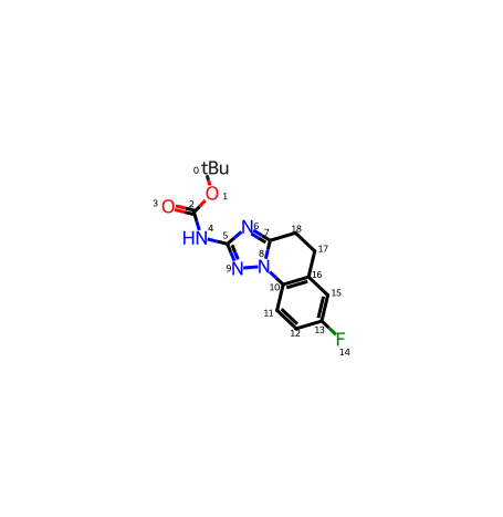 CC(C)(C)OC(=O)Nc1nc2n(n1)-c1ccc(F)cc1CC2